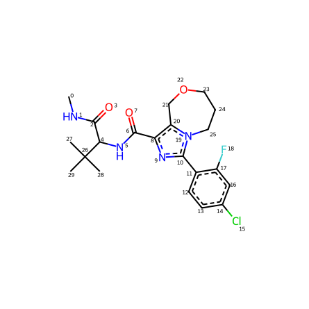 CNC(=O)C(NC(=O)c1nc(-c2ccc(Cl)cc2F)n2c1COCCC2)C(C)(C)C